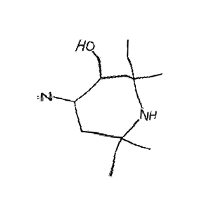 CC1(C)CC([N])C(O)C(C)(C)N1